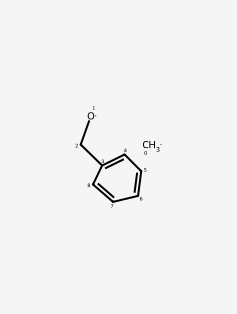 [CH3].[O]Cc1ccccc1